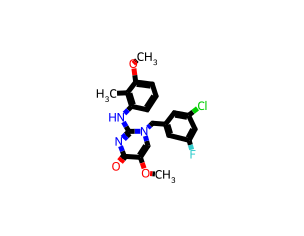 COc1cccc(Nc2nc(=O)c(OC)cn2Cc2cc(F)cc(Cl)c2)c1C